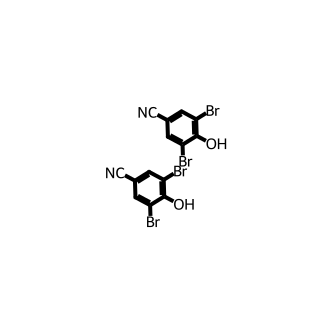 N#Cc1cc(Br)c(O)c(Br)c1.N#Cc1cc(Br)c(O)c(Br)c1